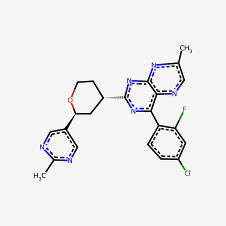 Cc1cnc2c(-c3ccc(Cl)cc3F)nc([C@H]3CCO[C@H](c4cnc(C)nc4)C3)nc2n1